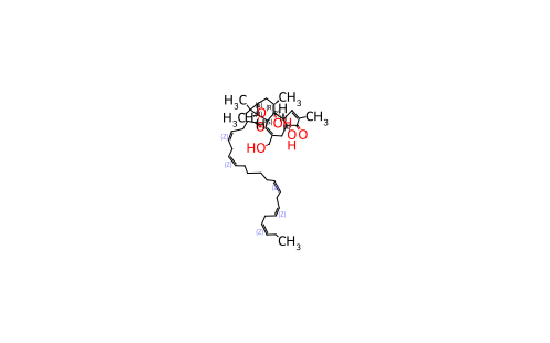 CC/C=C\C/C=C\C/C=C\CCCC/C=C\C/C=C\CCC(=O)O[C@@]12C[C@@H](C)[C@@]3(O)[C@@H](C=C(CO)C[C@]4(O)C(=O)C(C)=C[C@@H]34)[C@@H]1C2(C)C